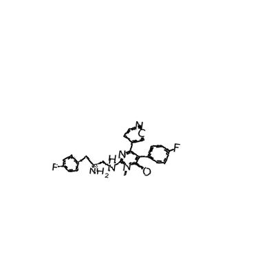 Cn1c(NC[C@@H](N)Cc2ccc(F)cc2)nc(-c2ccncc2)c(-c2ccc(F)cc2)c1=O